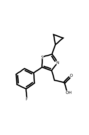 O=C(O)Cc1nc(C2CC2)sc1-c1cccc(F)c1